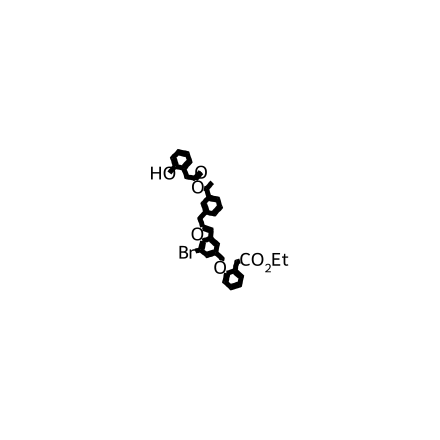 CCOC(=O)Cc1ccccc1OCc1cc(Br)c2oc(Cc3cccc(C(C)OC(=O)Cc4ccccc4O)c3)cc2c1